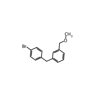 COCc1cccc(Cc2ccc(Br)cc2)c1